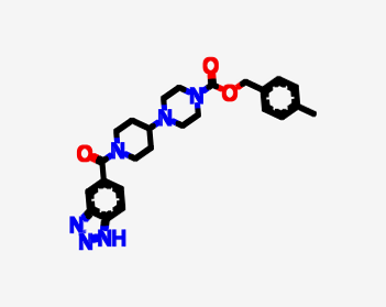 Cc1ccc(COC(=O)N2CCN(C3CCN(C(=O)c4ccc5[nH]nnc5c4)CC3)CC2)cc1